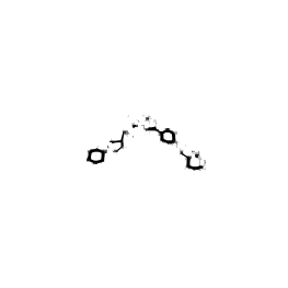 O=C(NCC1CCN(c2ccccc2)C1)n1cnc(-c2ccc(OCc3cccnn3)cc2)c1